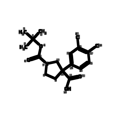 CC(C)(C)OC(=O)N1CCC(C(=O)O)(c2ccc(Cl)c(Cl)c2)C1